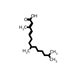 CC(/C=C/CCC(C)CCCCC(C)C)=C\C(=O)O